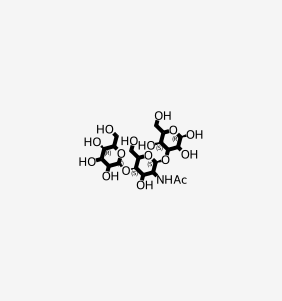 CC(=O)NC1C(O)[C@H](O[C@@H]2OC(CO)[C@H](O)C(O)C2O)C(CO)O[C@H]1OC1C(O)[C@H](O)OC(CO)[C@@H]1O